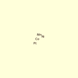 [Co].[Mn].[Ni].[Pt]